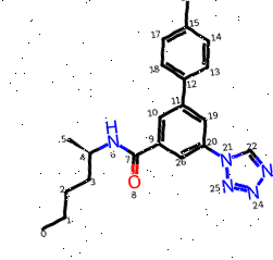 CCCC[C@@H](C)NC(=O)c1cc(-c2ccc(C)cc2)cc(-n2cnnn2)c1